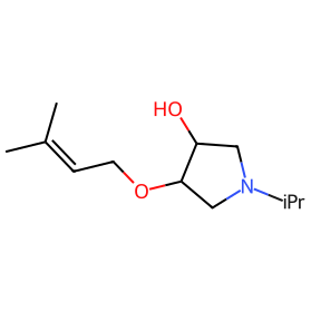 CC(C)=CCOC1CN(C(C)C)CC1O